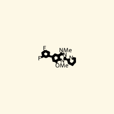 CNc1nc(-c2ccccn2)nc2c(OC)cc(-c3cc(F)cc(F)c3)cc12